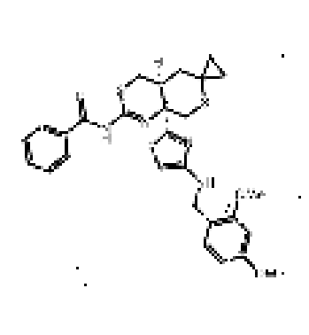 COc1ccc(CNc2csc([C@@]34COC5(CC5)C[C@@H]3CSC(NC(=O)c3ccccc3)=N4)n2)c(OC)c1